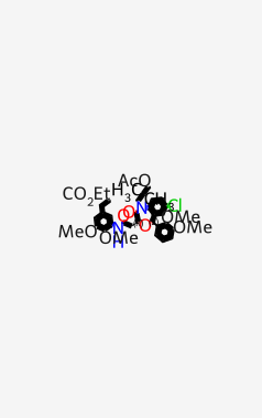 CCOC(=O)CCc1cc(NC(=O)C[C@H]2O[C@H](c3cccc(OC)c3OC)c3cc(Cl)ccc3N(CC(C)(C)COC(C)=O)C2=O)c(OC)c(OC)c1